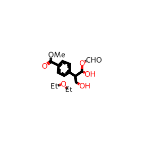 CCOCC.COC(=O)c1ccc(C(CO)C(O)OC=O)cc1